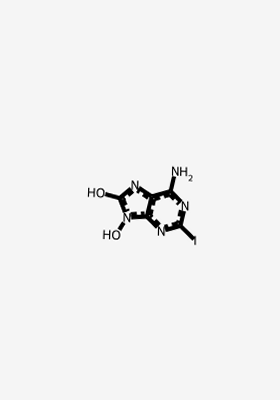 Nc1nc(I)nc2c1nc(O)n2O